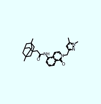 Cc1cc(Cn2ccc3c(NC(=O)CC45CC6CC(C)(CC(C)(C6)C4)C5)cccc3c2=O)nn1C